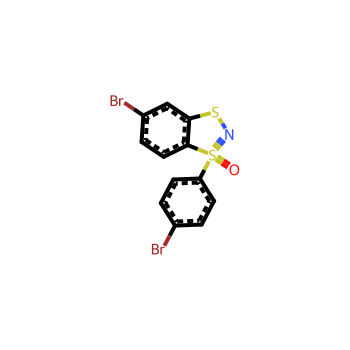 O=S1(c2ccc(Br)cc2)=NSc2cc(Br)ccc21